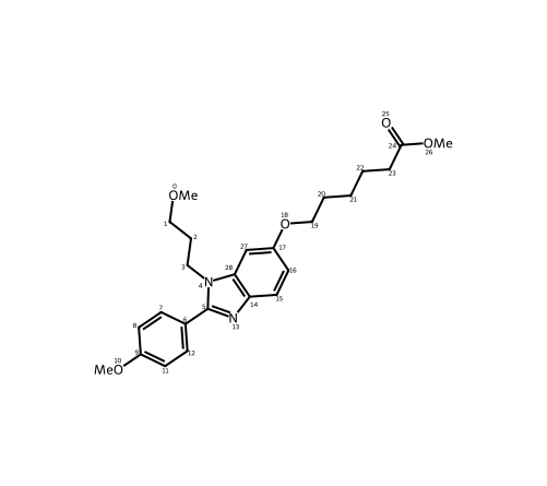 COCCCn1c(-c2ccc(OC)cc2)nc2ccc(OCCCCCC(=O)OC)cc21